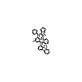 Cc1cc2c3c(c1)N(c1cccc4c1oc1ccccc14)c1ccccc1B3c1sc3ccccc3c1N2c1ccccc1